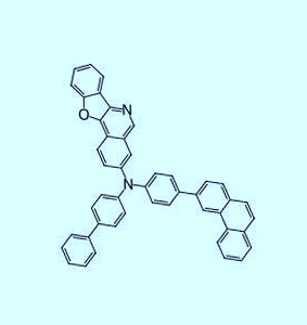 c1ccc(-c2ccc(N(c3ccc(-c4ccc5ccc6ccccc6c5c4)cc3)c3ccc4c(cnc5c6ccccc6oc45)c3)cc2)cc1